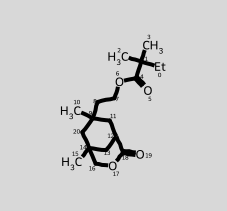 CCC(C)(C)C(=O)OCCC1(C)CC2CC(C)(COC2=O)C1